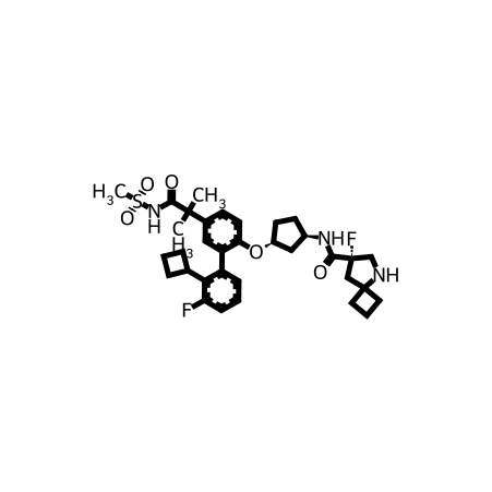 CC(C)(C(=O)NS(C)(=O)=O)c1ccc(O[C@@H]2CC[C@@H](NC(=O)[C@@]3(F)CNC4(CCC4)C3)C2)c(-c2cccc(F)c2C2CCC2)c1